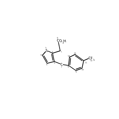 O=C(O)Cc1sccc1Cc1ccc(C(F)(F)F)cc1